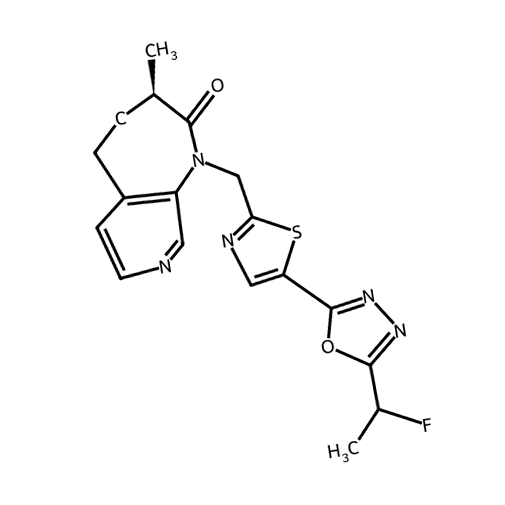 CC(F)c1nnc(-c2cnc(CN3C(=O)[C@H](C)CCc4ccncc43)s2)o1